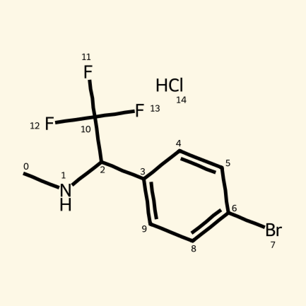 CNC(c1ccc(Br)cc1)C(F)(F)F.Cl